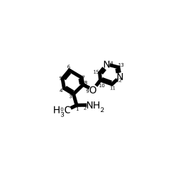 CC(N)c1ccccc1Oc1cncnc1